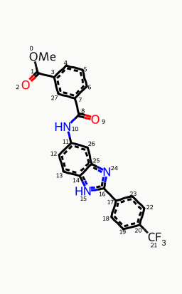 COC(=O)c1cccc(C(=O)Nc2ccc3[nH]c(-c4ccc(C(F)(F)F)cc4)nc3c2)c1